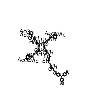 CCC(C)(CCNC(=O)CN1CCN(CC(=O)NCCNC(=O)c2cccc(OC(C)=O)c2OC(C)=O)CCN(CC(=O)NCCNC(=O)c2cccc(OC(C)=O)c2OC(C)=O)CCN(CC(=O)NCCNC(=O)c2cccc(OC(C)=O)c2OC(C)=O)CC1)COC(C)(CC)CCCNC(=O)CCCOc1ccc(C(c2ccc(N(C)C)cc2)c2ccc(N(C)C)cc2)cc1